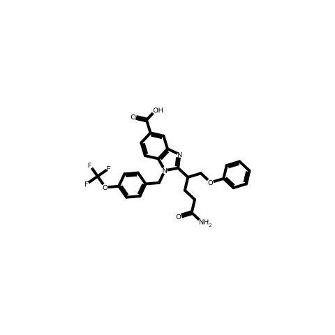 NC(=O)CCC(COc1ccccc1)c1nc2cc(C(=O)O)ccc2n1Cc1ccc(OC(F)(F)F)cc1